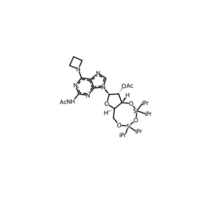 CC(=O)Nc1nc(N2CCC2)c2ncn([C@@H]3O[C@@H]4CO[Si](C(C)C)(C(C)C)O[Si](C(C)C)(C(C)C)O[C@H]4[C@H]3OC(C)=O)c2n1